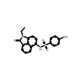 CCN1C(=O)c2cccc3c(NS(=O)(=O)c4ccc(O)cc4)ccc1c23